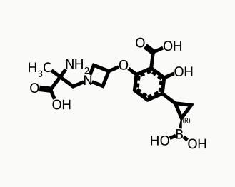 CC(N)(CN1CC(Oc2ccc(C3C[C@H]3B(O)O)c(O)c2C(=O)O)C1)C(=O)O